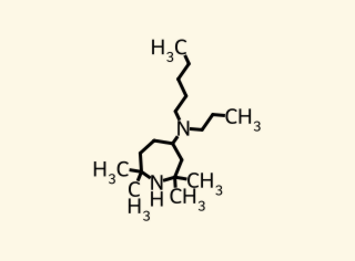 CCCCCN(CCC)C1CCC(C)(C)NC(C)(C)C1